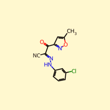 Cc1cc(C(=O)/C(C#N)=N/Nc2cccc(Cl)c2)no1